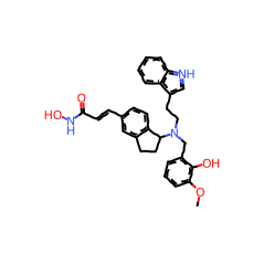 COc1cccc(CN(CCc2c[nH]c3ccccc23)C2CCc3cc(C=CC(=O)NO)ccc32)c1O